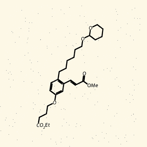 CCOC(=O)CCCOc1ccc(CCCCCCOC2CCCCO2)c(C=CC(=O)OC)c1